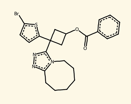 O=C(OC1CC(c2ccc(Br)s2)(c2nnc3n2CCCCCC3)C1)c1ccccc1